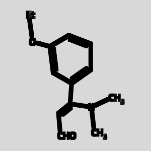 CCOc1cccc(C(=CC=O)N(C)C)c1